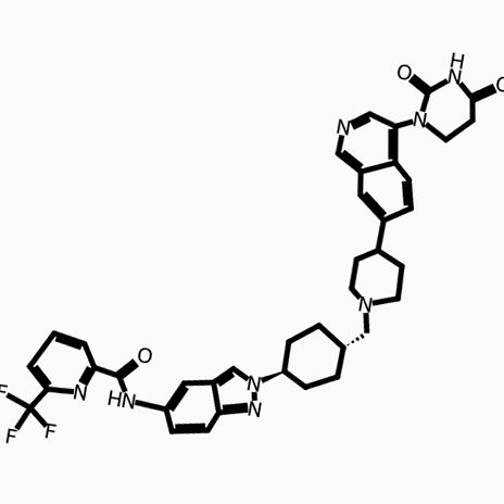 O=C1CCN(c2cncc3cc(C4CCN(C[C@H]5CC[C@H](n6cc7cc(NC(=O)c8cccc(C(F)(F)F)n8)ccc7n6)CC5)CC4)ccc23)C(=O)N1